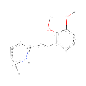 COc1cccc(C=Cc2cccc(C)n2)c1OC